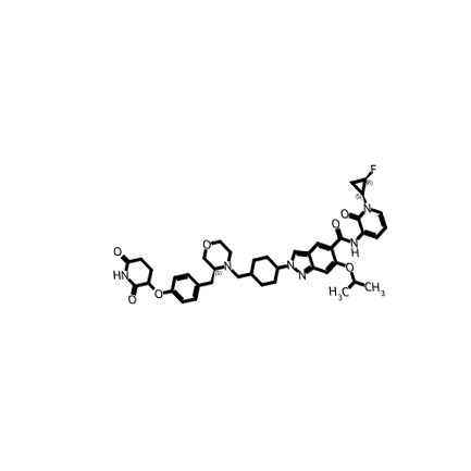 CC(C)Oc1cc2nn(C3CCC(CN4CCOC[C@@H]4Cc4ccc(OC5CCC(=O)NC5=O)cc4)CC3)cc2cc1C(=O)Nc1cccn([C@H]2C[C@H]2F)c1=O